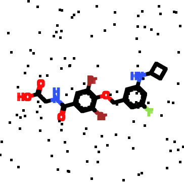 O=C(O)CNC(=O)c1cc(Br)c(OCc2cc(F)cc(NC3CCC3)c2)c(Br)c1